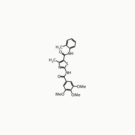 COc1cc(C(=O)Nc2nc(C)c(C(=O)Nc3ccccc3C)s2)cc(OC)c1OC